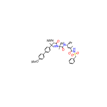 CN[C@H](C(=O)NC(C)(C(=O)N(C)[C@H](/C=C(\C)C(=O)NS(=O)(=O)Cc1ccccc1)C(C)C)C(C)C)C(C)(C)c1ccc(-c2ccc(OC)cc2)cc1